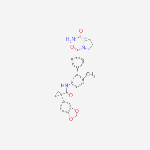 Cc1ccc(NC(=O)C2(c3ccc4c(c3)OCO4)CC2)cc1-c1ccc(C(=O)N2CCC[C@H]2C(N)=O)cc1